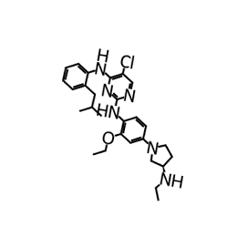 CCN[C@@H]1CCN(c2ccc(Nc3ncc(Cl)c(Nc4ccccc4CC(C)C)n3)c(OCC)c2)C1